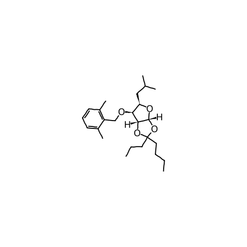 CCCCC1(CCC)O[C@H]2O[C@H](CC(C)C)[C@H](OCc3c(C)cccc3C)[C@H]2O1